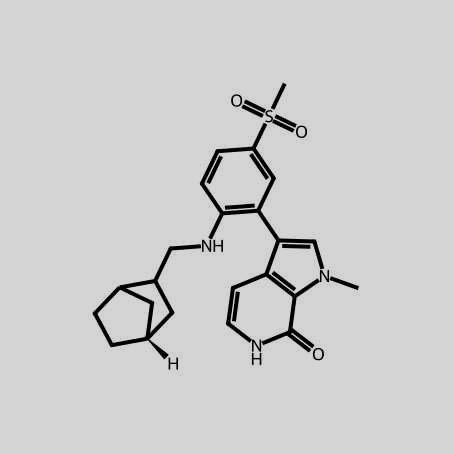 Cn1cc(-c2cc(S(C)(=O)=O)ccc2NCC2C[C@@H]3CCC2C3)c2cc[nH]c(=O)c21